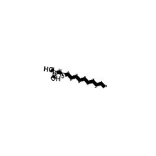 CCCCCCCCCCSCB(O)O